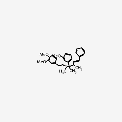 COc1cccc(C(C)(C(C)C=Cc2ccccc2)N(C)CCc2ccc(OC)c(OC)c2)c1